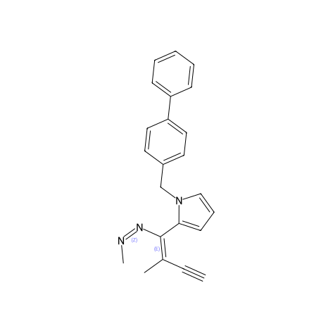 C#C/C(C)=C(/N=N\C)c1cccn1Cc1ccc(-c2ccccc2)cc1